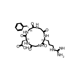 N=C(N)NCCC[C@@H]1NC(=O)CNC(=O)[C@@H](Cc2ccccc2)NC(=O)[C@H](CC(=O)O)NC(=O)CNC1=O